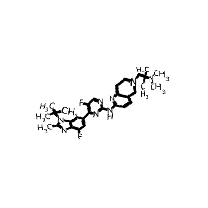 Cc1nc2c(F)cc(-c3nc(Nc4ccc5c(n4)CCN(CC(C)(C)N(C)C)C5)ncc3F)cc2n1C(C)(C)C